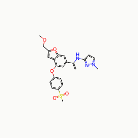 C=C(Nc1ccn(C)n1)c1cc(Oc2ccc(S(C)(=O)=O)cc2)c2cc(COC)oc2c1